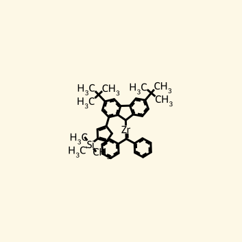 CC(C)(C)c1ccc2c(c1)-c1cc(C(C)(C)C)cc(C3=CC([Si](C)(C)C)=CC3)c1[CH]2[Zr]=[C](c1ccccc1)c1ccccc1